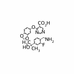 CC(C)(O)c1ccc(CN)c(F)c1.O=C(O)c1cncnc1Oc1ccc2c(c1)OCO2